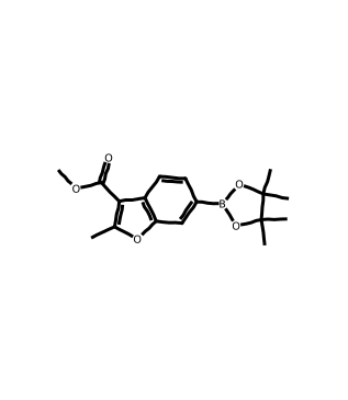 COC(=O)c1c(C)oc2cc(B3OC(C)(C)C(C)(C)O3)ccc12